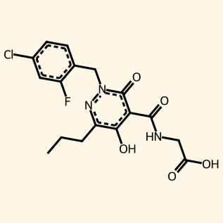 CCCc1nn(Cc2ccc(Cl)cc2F)c(=O)c(C(=O)NCC(=O)O)c1O